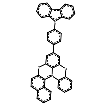 S=P12c3ccccc3Oc3cc(-c4ccc(-n5c6ccccc6c6ccccc65)cc4)cc(c31)Oc1ccc3ccccc3c12